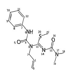 C=CCN(C(=O)Nc1ccccc1)C(=NC(=O)N(C)C)SC